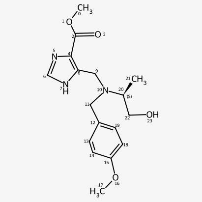 COC(=O)c1nc[nH]c1CN(Cc1ccc(OC)cc1)[C@@H](C)CO